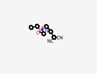 N#Cc1cc(C#N)cc(-c2ccc3c4ccccc4n(-c4cccc5c4C(=O)N(c4cccc(-c6ccccc6)c4)C5=O)c3c2)c1